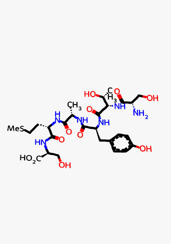 CSCC[C@H](NC(=O)[C@H](C)NC(=O)[C@H](Cc1ccc(O)cc1)NC(=O)[C@@H](NC(=O)[C@@H](N)CO)[C@@H](C)O)C(=O)N[C@@H](CO)C(=O)O